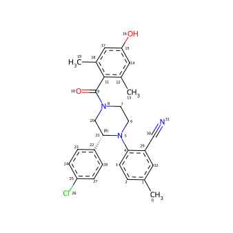 Cc1ccc(N2CCN(C(=O)c3c(C)cc(O)cc3C)C[C@H]2c2ccc(Cl)cc2)c(C#N)c1